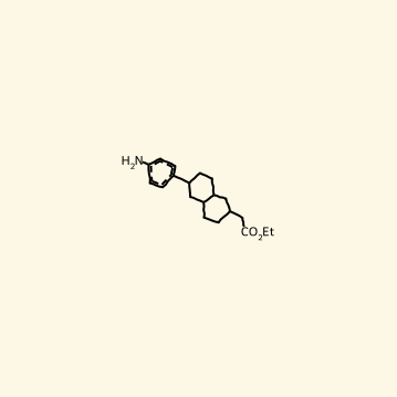 CCOC(=O)CC1CCC2CC(c3ccc(N)cc3)CCC2C1